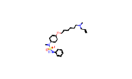 C=CCN(C)CCCCCCO[C@H]1CC[C@H](N(C)S(=O)(=O)Nc2ccccc2)CC1